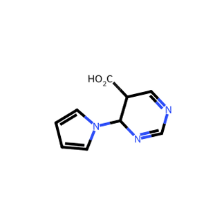 O=C(O)C1C=NC=NC1n1cccc1